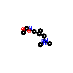 c1ccc(-c2nc(-c3ccccc3)nc(-c3cccc(-c4ccc(-c5ccc(-c6nc7ccc8oc9ccccc9c8c7o6)cc5)c5ccccc45)c3)n2)cc1